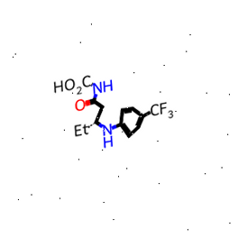 CC[C@H](CC(=O)NC(=O)O)Nc1ccc(C(F)(F)F)cc1